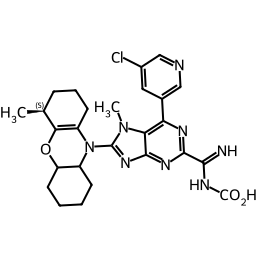 C[C@H]1CCCC2=C1OC1CCCCC1N2c1nc2nc(C(=N)NC(=O)O)nc(-c3cncc(Cl)c3)c2n1C